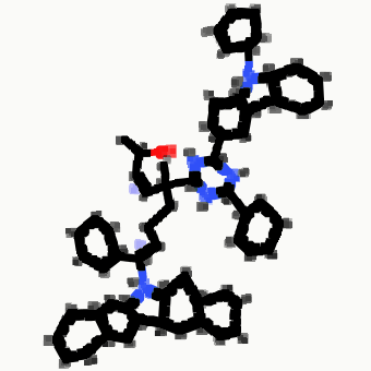 CC(O)/C=C\C(C)(CC/C=C(\c1ccccc1)n1c2cc3ccccc3cc2c2cc3ccccc3cc21)c1nc(-c2ccccc2)nc(-c2ccc3c(c2)c2ccccc2n3-c2ccccc2)n1